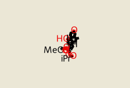 COCC(=O)O[C@]1(C(=O)COC(=O)C(C)C)CC[C@H]2[C@@H]3CC(C)C4=CC(=O)C=C[C@]4(C)[C@H]3C(O)C[C@@]21C